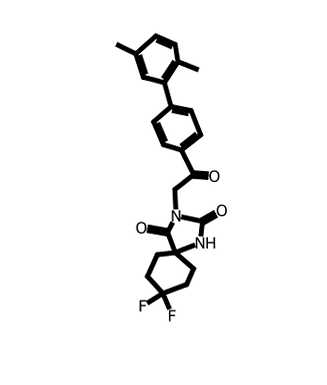 Cc1ccc(C)c(-c2ccc(C(=O)CN3C(=O)NC4(CCC(F)(F)CC4)C3=O)cc2)c1